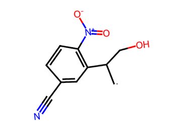 [CH2]C(CO)c1cc(C#N)ccc1[N+](=O)[O-]